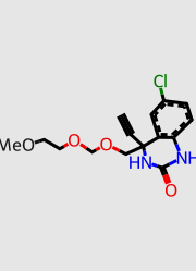 C#CC1(COCOCCOC)NC(=O)Nc2ccc(Cl)cc21